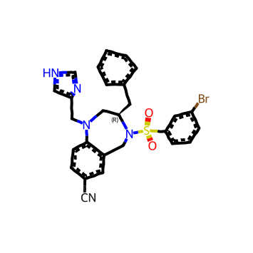 N#Cc1ccc2c(c1)CN(S(=O)(=O)c1cccc(Br)c1)[C@H](Cc1ccccc1)CN2Cc1c[nH]cn1